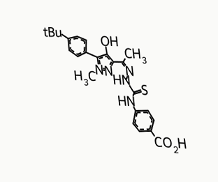 C/C(=N/NC(=S)Nc1ccc(C(=O)O)cc1)c1nn(C)c(-c2ccc(C(C)(C)C)cc2)c1O